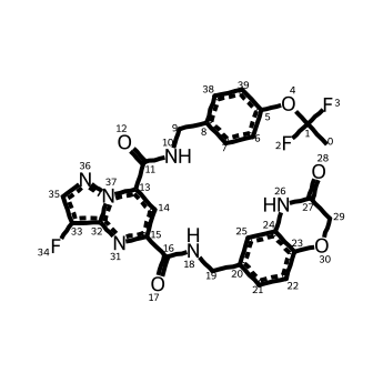 CC(F)(F)Oc1ccc(CNC(=O)c2cc(C(=O)NCc3ccc4c(c3)NC(=O)CO4)nc3c(F)cnn23)cc1